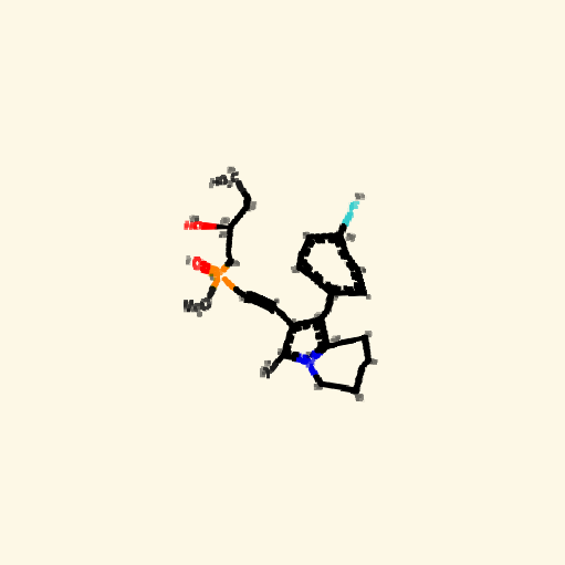 COP(=O)(C#Cc1c(-c2ccc(F)cc2)c2n(c1C(C)C)CCCC2)C[C@@H](O)CC(=O)O